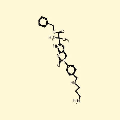 CC(C)(C(=O)OCc1ccccc1)c1cc2cn(-c3ccc(CNCCCN)cc3)c(=O)nc2[nH]1